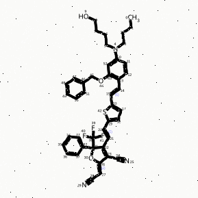 CCCCN(CCCCO)c1ccc(/C=C/c2ccc(/C=C/C3=C(C#N)C(=C/C#N)/OC3(c3ccccc3)C(F)(F)F)s2)c(OCc2ccccc2)c1